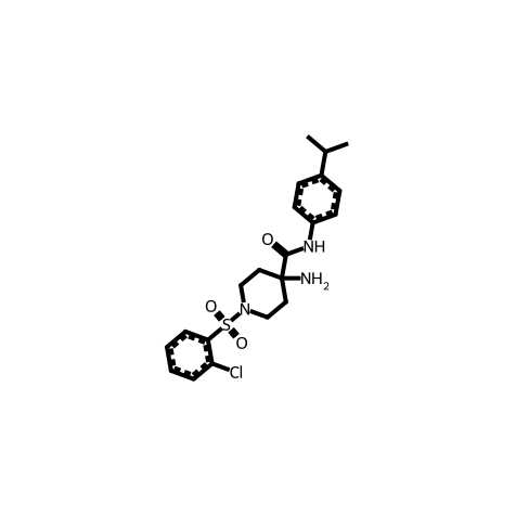 CC(C)c1ccc(NC(=O)C2(N)CCN(S(=O)(=O)c3ccccc3Cl)CC2)cc1